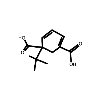 CC(C)(C)C1(C(=O)O)C=CC=C(C(=O)O)C1